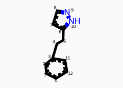 c1ccc(CCc2ccn[nH]2)cc1